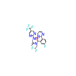 C[C@@H](CNc1ncc(C(F)(F)F)cn1)N(CC(F)F)C(=O)c1cc(F)ccc1-c1ncccn1